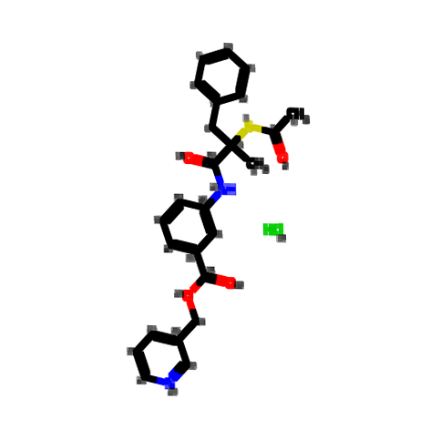 CC(=O)SC(C)(Cc1ccccc1)C(=O)Nc1cccc(C(=O)OCc2cccnc2)c1.Cl